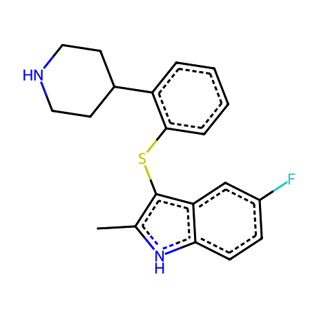 Cc1[nH]c2ccc(F)cc2c1Sc1ccccc1C1CCNCC1